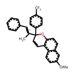 COc1ccc2c3c(ccc2c1)OC(/C(C)=C/c1ccccc1)(c1ccc(C(F)(F)F)cc1)C=C3